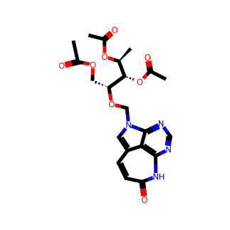 CC(=O)OC[C@@H](OCn1cc2c3c(ncnc31)NC(=O)C=C2)[C@@H](OC(C)=O)[C@H](C)OC(C)=O